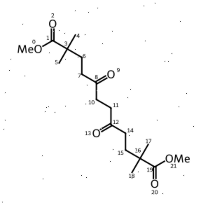 COC(=O)C(C)(C)CCC(=O)CCC(=O)CCC(C)(C)C(=O)OC